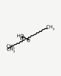 CCCCCCCCCCCCCCCC(=O)[C@H](CCCCCCCCCCCC(C)C)CC(=O)O